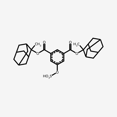 CC1(OC(=O)c2cc(OS(=O)(=O)O)cc(C(=O)OC3(C)C4CC5CC(C4)CC3C5)c2)C2CC3CC(C2)CC1C3